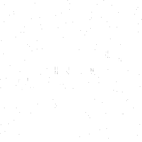 O=C(Nc1ccc(OC(F)(F)F)cc1)Nc1cccc2c1CCN2Cc1c[nH]c2ncccc12